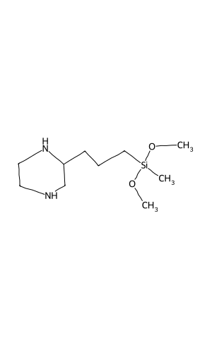 CO[Si](C)(CCCC1CNCCN1)OC